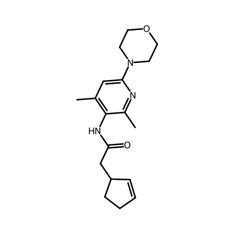 Cc1cc(N2CCOCC2)nc(C)c1NC(=O)CC1C=CCC1